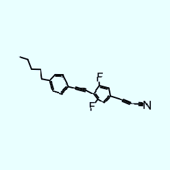 CCCCCc1ccc(C#Cc2c(F)cc(C#CC#N)cc2F)cc1